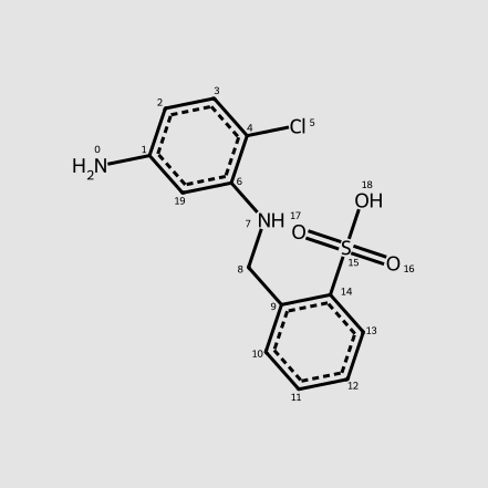 Nc1ccc(Cl)c(NCc2ccccc2S(=O)(=O)O)c1